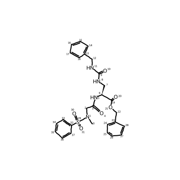 CN(CC(=O)N[C@@H](CNC(=O)NCc1ccccc1)C(=O)OCc1ccccc1)S(=O)(=O)c1ccccc1